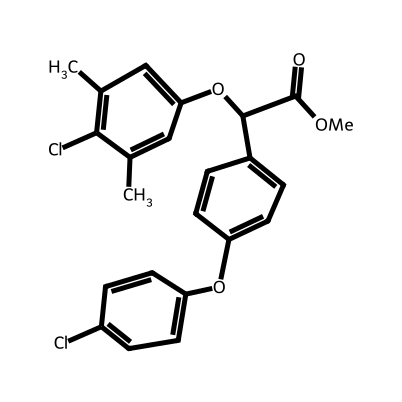 COC(=O)C(Oc1cc(C)c(Cl)c(C)c1)c1ccc(Oc2ccc(Cl)cc2)cc1